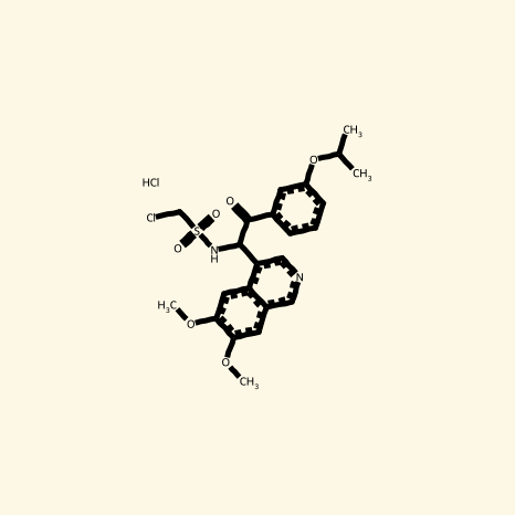 COc1cc2cncc(C(NS(=O)(=O)CCl)C(=O)c3cccc(OC(C)C)c3)c2cc1OC.Cl